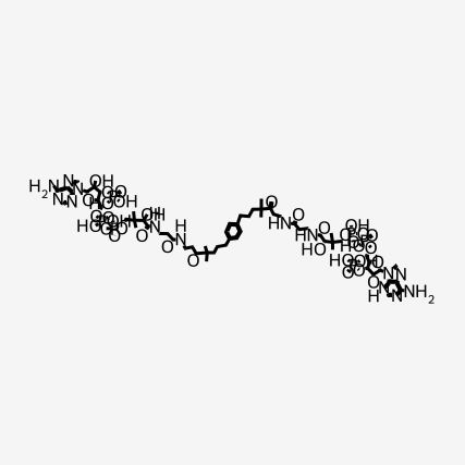 CC(C)(CCCc1ccc(CCCC(C)(C)C(=O)CCNC(=O)CCNC(=O)C(O)C(C)(C)COP(=O)(O)OP(=O)(O)OCC2OC(n3cnc4c(N)ncnc43)C(O)C2OP(=O)(O)O)cc1)C(=O)CCNC(=O)CCNC(=O)C(O)C(C)(C)COP(=O)(O)OP(=O)(O)OCC1OC(n2cnc3c(N)ncnc32)C(O)C1OP(=O)(O)O